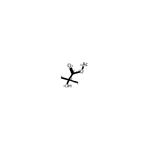 CC(=O)OC(=O)C(C)(C)O